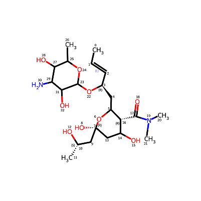 C/C=C/[C@@H](CC1O[C@](O)(C[C@H](C)O)CC(O)[C@H]1C(=O)N(C)C)OC1OC(C)C(O)C(N)C1O